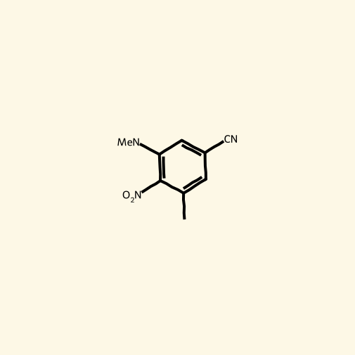 CNc1cc(C#N)cc(C)c1[N+](=O)[O-]